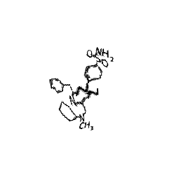 CN(Cc1nc(Cc2ccccc2)n(-c2ccc(S(N)(=O)=O)cc2)n1)C1CCCC1